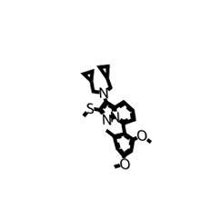 COc1cc(C)c(-c2cccc3c(N(CC4CC4)CC4CC4)c(SC)nn23)c(OC)c1